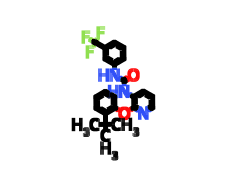 CC(C)(C)c1ccccc1Oc1ncccc1NC(=O)Nc1cccc(C(F)(F)F)c1